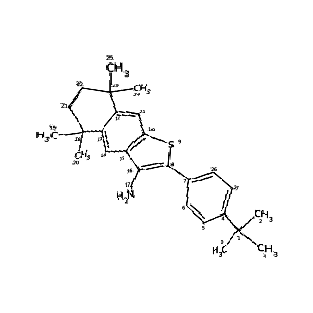 CC(C)(C)c1ccc(-c2sc3cc4c(cc3c2N)C(C)(C)CCC4(C)C)cc1